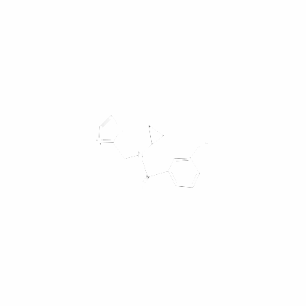 CC(C)c1cccc(C(=O)N(Cc2nccs2)C2CC2)c1